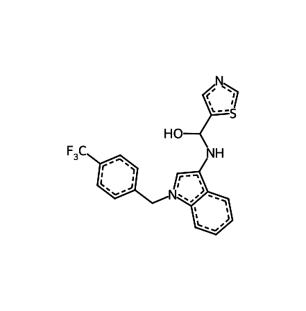 OC(Nc1cn(Cc2ccc(C(F)(F)F)cc2)c2ccccc12)c1cncs1